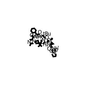 C=C[C@@H]1C[C@]1(NC(=O)[C@@H]1C[C@@]2(CN1C(=O)[C@@H](NC(=O)C(NC(=O)c1cnc(C)cn1)C1CCCCC1)C(C)(C)C)C(C)(C)C21CCC1)C(=O)NS(=O)(=O)N1CCCC1